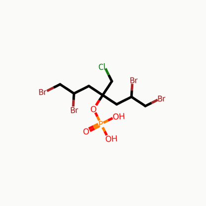 O=P(O)(O)OC(CCl)(CC(Br)CBr)CC(Br)CBr